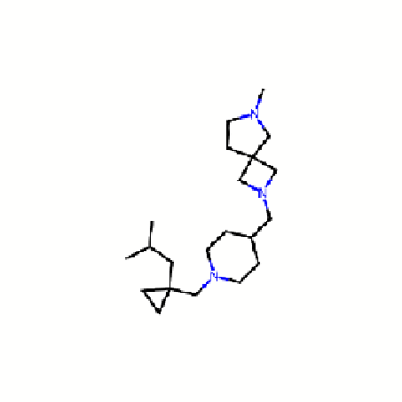 CC(C)CC1(CN2CCC(CN3CC4(CCN(C)C4)C3)CC2)CC1